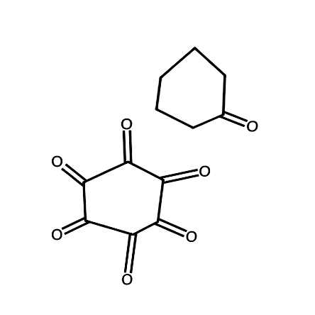 O=C1C(=O)C(=O)C(=O)C(=O)C1=O.O=C1CCCCC1